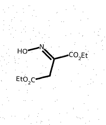 CCOC(=O)C/C(=N\O)C(=O)OCC